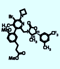 COC(=O)CCc1ccc(OC)c(-c2c(CN3C(=O)O[C@H](c4cc(C)cc(C(F)(F)F)c4)[C@@H]3C)nc(N3CCC3)c(Br)c2C)c1